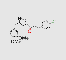 COc1ccc(CC(CCC(=O)CCc2ccc(Cl)cc2)[N+](=O)[O-])cc1OC